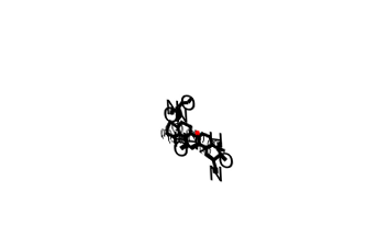 COCc1noc([C@]23CC[C@@H](C)[C@H](C)[C@H]2[C@H]2C(=O)C=C4[C@@]5(C)C=C(C#N)C(=O)C(C)(C)[C@@H]5CC[C@@]4(C)[C@]2(C)CC3)n1